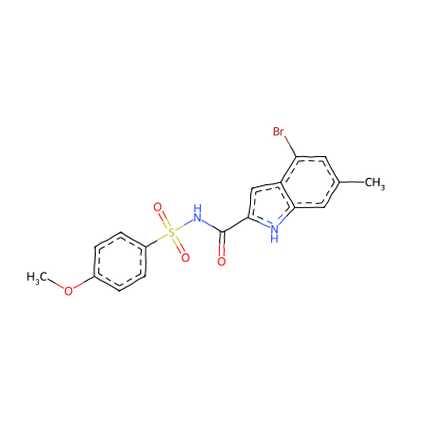 COc1ccc(S(=O)(=O)NC(=O)c2cc3c(Br)cc(C)cc3[nH]2)cc1